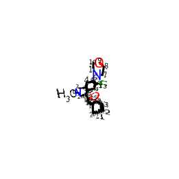 CN1Cc2cc(N3CCOCC3)c(F)cc2C(c2cc3ccccc3o2)C1